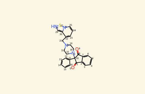 O=C1c2ccccc2C(=O)C1(c1ccccc1)N1CCN(CC2=CC=CN3SNC=C23)CC1